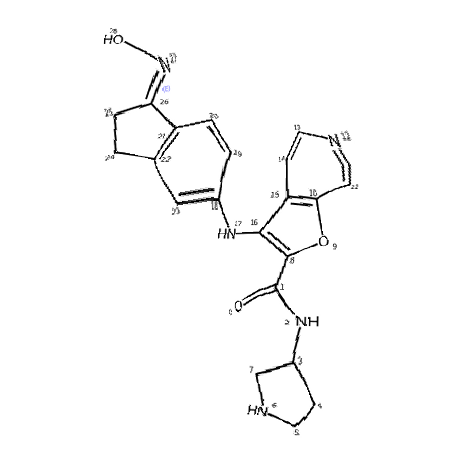 O=C(NC1CCNC1)c1oc2cnccc2c1Nc1ccc2c(c1)CC/C2=N\O